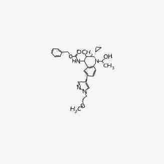 COCCn1cc(-c2ccc3c(c2)C(NC(=O)OCc2ccccc2)[C@@H](C)[C@H](C2CC2)N3C(C)O)cn1